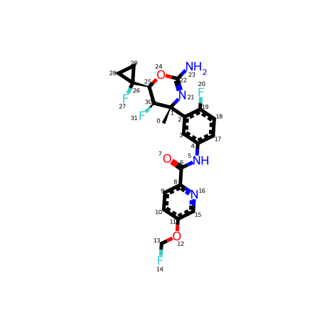 C[C@]1(c2cc(NC(=O)c3ccc(OCF)cn3)ccc2F)N=C(N)O[C@H](C2(F)CC2)[C@@H]1F